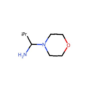 CC(C)C(N)N1CCOCC1